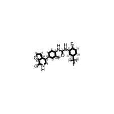 O=C(Nc1ccc(-c2c[nH]c(=O)c3occc23)cc1F)Nc1cc(C(F)(F)F)ccc1F